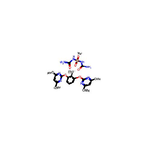 COc1cc(OC)nc(Oc2cccc(Oc3nc(OC)cc(OC)n3)c2C(=O)[O-])n1.NC(=O)NS(=O)(=O)NC(N)=O.[Na+]